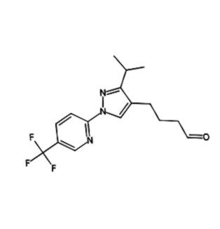 CC(C)c1nn(-c2ccc(C(F)(F)F)cn2)cc1CCCC=O